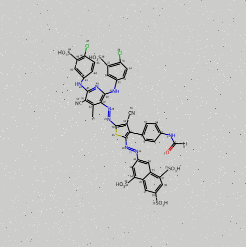 CCC(=O)Nc1ccc(-c2c(/N=N/c3cc(S(=O)(=O)O)c4cc(S(=O)(=O)O)cc(S(=O)(=O)O)c4c3)sc(N=Nc3c(Nc4ccc(Cl)c(S(=O)(=O)O)c4)nc(Nc4ccc(Cl)c(S(=O)(=O)O)c4)c(C#N)c3C)c2C#N)cc1